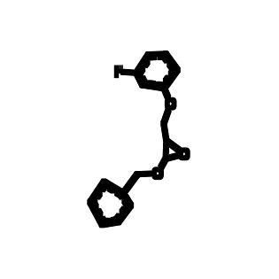 Fc1cccc(OCC2OC2OCc2ccccc2)c1